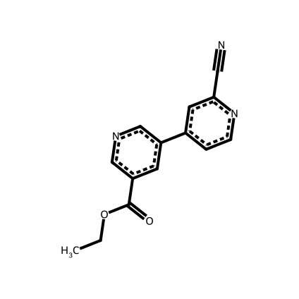 CCOC(=O)c1cncc(-c2ccnc(C#N)c2)c1